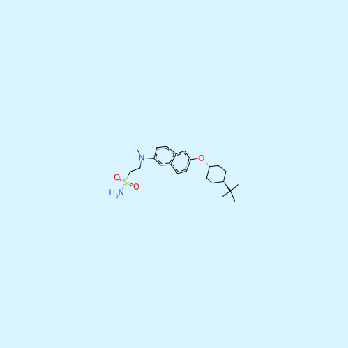 CN(CCS(N)(=O)=O)c1ccc2cc(O[C@H]3CC[C@H](C(C)(C)C)CC3)ccc2c1